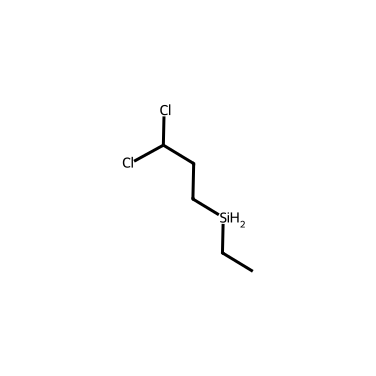 CC[SiH2]CCC(Cl)Cl